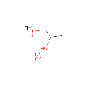 CC(O)CO.[O-2].[O-2].[Ti+4]